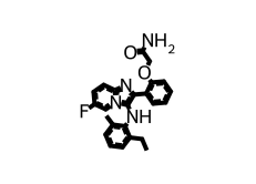 CCc1cccc(C)c1Nc1c(-c2ccccc2OCC(N)=O)nc2ccc(F)cn12